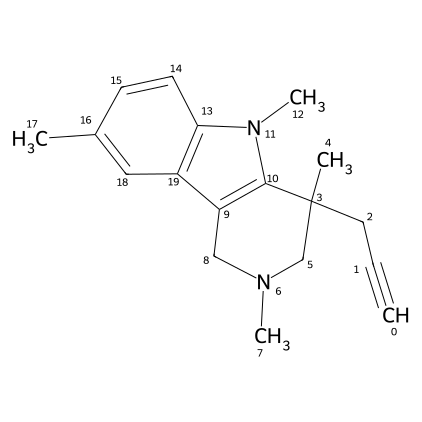 C#CCC1(C)CN(C)Cc2c1n(C)c1ccc(C)cc21